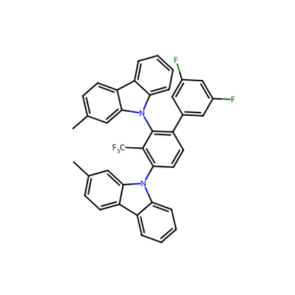 Cc1ccc2c3ccccc3n(-c3ccc(-c4cc(F)cc(F)c4)c(-n4c5ccccc5c5ccc(C)cc54)c3C(F)(F)F)c2c1